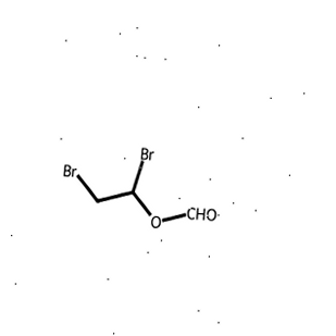 O=[C]OC(Br)CBr